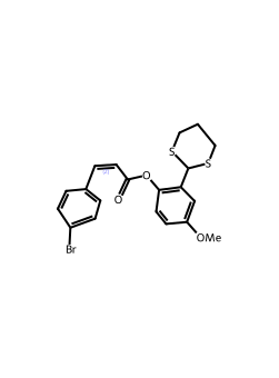 COc1ccc(OC(=O)/C=C\c2ccc(Br)cc2)c(C2SCCCS2)c1